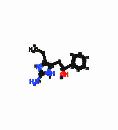 CCc1nc(N)[nH]c1CC(O)c1ccccc1